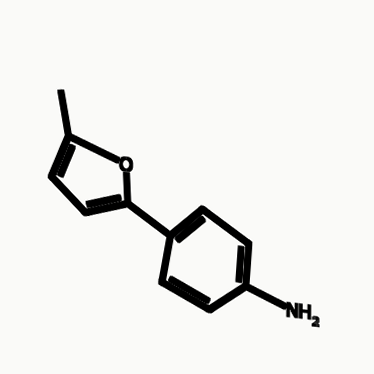 Cc1ccc(-c2ccc(N)cc2)o1